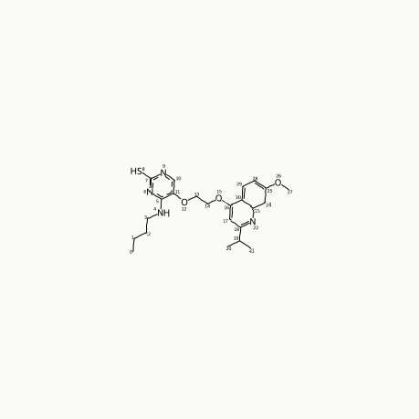 CCCCNc1nc(S)ncc1OCCOC1=CC(C(C)C)=NC2CC(OC)=CC=C12